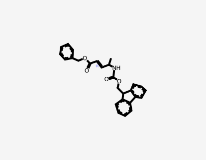 CC(/C=C/C(=O)OCc1ccccc1)NC(=O)OCC1c2ccccc2-c2ccccc21